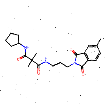 Cc1ccc2c(c1)C(=O)N(CCCNC(=O)C(C)(C)C(=O)NC1CCCC1)C2=O